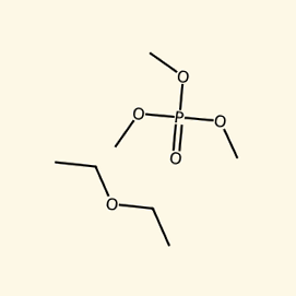 CCOCC.COP(=O)(OC)OC